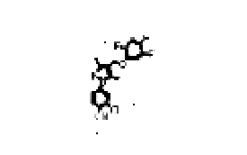 Cc1nn(-c2ccc(C#N)c(Cl)c2)c(C)c1COc1cc(F)c(F)cc1F